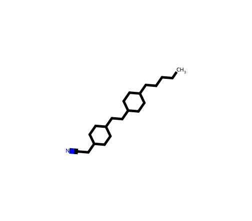 CCCCCC1CCC(CCC2CCC(CC#N)CC2)CC1